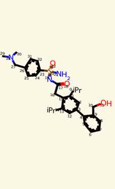 CC(C)c1cc(-c2ccccc2CO)cc(C(C)C)c1CC(=O)N=S(N)(=O)c1ccc(CN(C)C)cc1